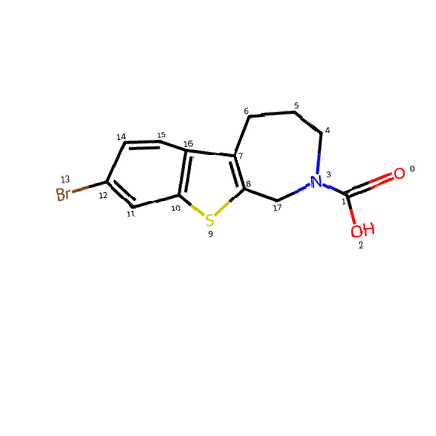 O=C(O)N1CCCc2c(sc3cc(Br)ccc23)C1